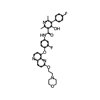 Cc1nc(C)c(-c2ccc(F)cc2)c(O)c1C(=O)Nc1ccc(Oc2ccnc3ccc(OCCN4CCOCC4)nc23)c(F)c1